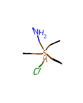 C[SH](C)(C)(N)Cl